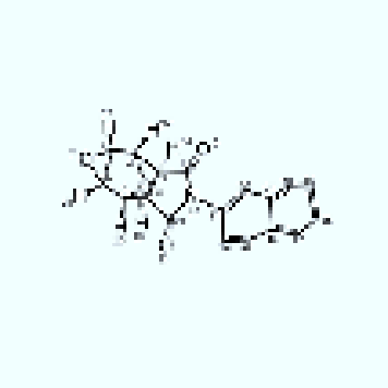 O=C1[C@@H]2[C@@H]3O[C@@H]([C@@H]4O[C@@H]43)[C@@H]2C(=O)N1c1ccc2ccccc2c1